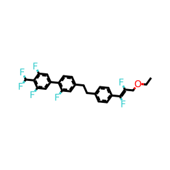 CCOC/C(F)=C(\F)c1ccc(CCc2ccc(-c3cc(F)c(C(F)F)c(F)c3)c(F)c2)cc1